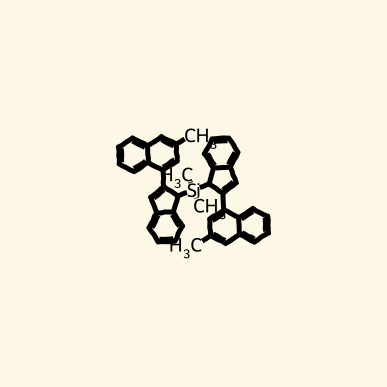 Cc1cc(C2=Cc3ccccc3C2[Si](C)(C)C2C(c3cc(C)cc4ccccc34)=Cc3ccccc32)c2ccccc2c1